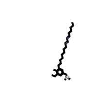 CCCCC/C=C/C=C/CCCCCCCCc1cc(CN(C)C)cc(CC)c1C